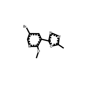 COc1ncc(Br)cc1-c1nnc(C)o1